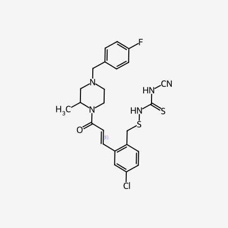 CC1CN(Cc2ccc(F)cc2)CCN1C(=O)/C=C/c1cc(Cl)ccc1CSNC(=S)NC#N